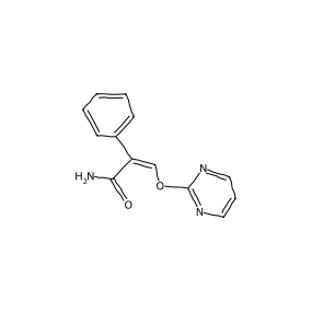 NC(=O)C(=COc1ncccn1)c1ccccc1